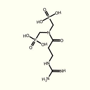 N=C(N)NCCC(=O)N(CP(=O)(O)O)CP(=O)(O)O